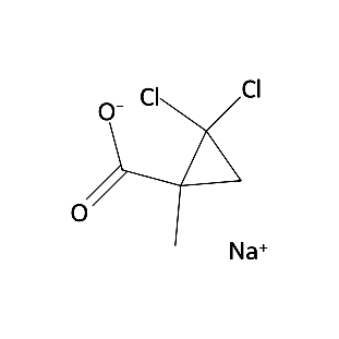 CC1(C(=O)[O-])CC1(Cl)Cl.[Na+]